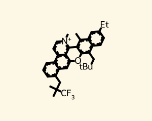 CCc1ccc2c(CC(C)(C)C)c3c(c(C)c2c1)-c1c2c(cc4c(CC(C)(C)C(F)(F)F)cccc4c2cc[n+]1C)O3